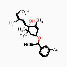 C#CC(O[C@@H]1C=C(C)[C@](O)(/C=C/C(C)=C\C(=O)O)C(C)(C)C1)c1cccc(C(C)=O)c1